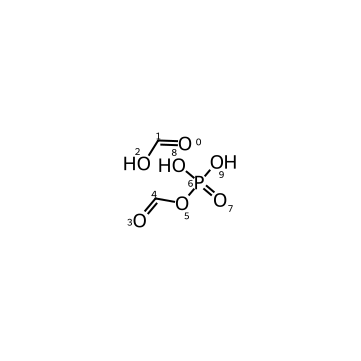 O=CO.O=COP(=O)(O)O